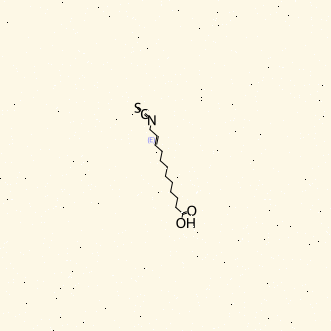 O=C(O)CCCCCCCC/C=C/CN=C=S